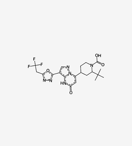 CC(C)(C)C1CC(c2cc(=O)[nH]c3c(-c4nnc(CC(F)(F)F)o4)cnn23)CCN1C(=O)O